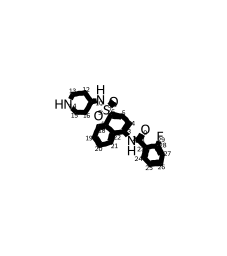 O=C(Nc1ccc(S(=O)(=O)NC2CCNCC2)c2ccccc12)c1ccccc1F